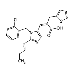 CCC=Cc1ncc(C=C(Cc2cccs2)C(=O)O)n1Cc1ccccc1Cl